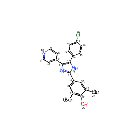 CC(C)(C)c1cc(-c2nc(-c3ccncc3)c(-c3ccc(Cl)cc3)[nH]2)cc(C(C)(C)C)c1O